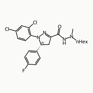 CCCCCCN(C)NC(=O)C1=NN(c2ccc(Cl)cc2Cl)[C@@H](c2ccc(F)cc2)C1